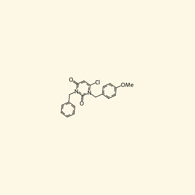 COc1ccc(Cn2c(Cl)cc(=O)n(Cc3ccccc3)c2=O)cc1